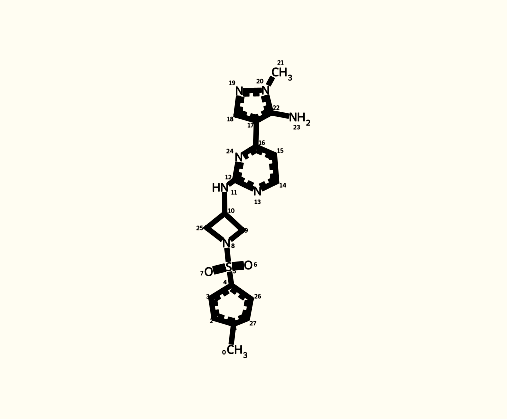 Cc1ccc(S(=O)(=O)N2CC(Nc3nccc(-c4cnn(C)c4N)n3)C2)cc1